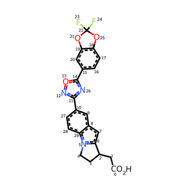 O=C(O)CC1CCn2c1cc1cc(-c3noc(-c4ccc5c(c4)OC(F)(F)O5)n3)ccc12